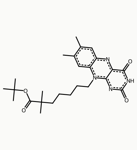 Cc1cc2nc3c(=O)[nH]c(=O)nc-3n(CCCCCC(C)(C)C(=O)OC(C)(C)C)c2cc1C